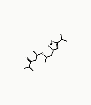 CC(Cn1cc(C(C)C)nn1)ON(C)CC(=O)C(C)C